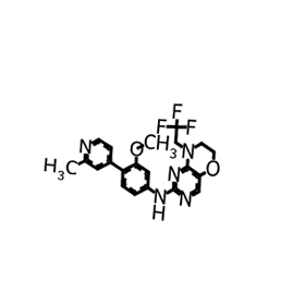 COc1cc(Nc2ncc3c(n2)N(CC(F)(F)F)CCO3)ccc1-c1ccnc(C)c1